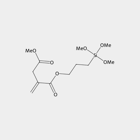 C=C(CC(=O)OC)C(=O)OCCC[Si](OC)(OC)OC